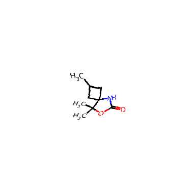 CC1CC2(C1)NC(=O)OC2(C)C